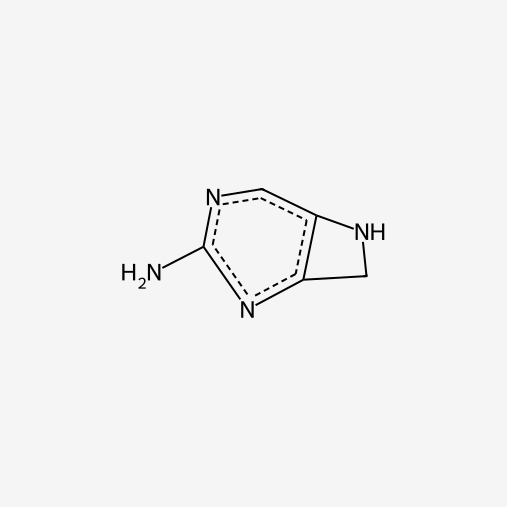 Nc1ncc2c(n1)CN2